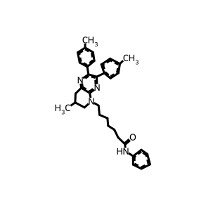 Cc1ccc(-c2nc3c(nc2-c2ccc(C)cc2)N(CCCCCCC(=O)Nc2ccccc2)CC(C)C3)cc1